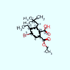 CCOC(=O)c1cc(Br)c(CC)c(CC(C)(C)C)c1C(=O)O